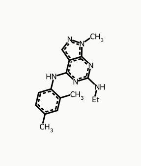 CCNc1nc(Nc2ccc(C)cc2C)c2cnn(C)c2n1